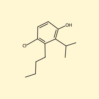 CCCCc1c(Cl)ccc(O)c1C(C)C